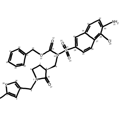 N#Cc1cc(CN2CC[C@@H](CN(C(=O)OCc3ccccc3)S(=O)(=O)c3ccc4c(Cl)c(N)ccc4c3)C2=O)cs1